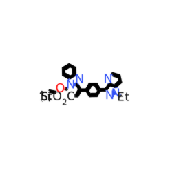 CCOC(=O)/C=C(/c1ccc(-c2nn(CC)c3cccnc23)cc1)c1nc2ccccc2n1COCC[Si](C)(C)C